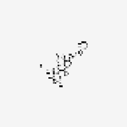 C=CCOc1cc(OCC=C)c(C(=O)c2ccc(OCCOC3CCCCO3)c(OC)c2)c(CC(=O)OC)c1CC